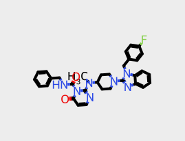 CN(c1nccc(=O)n1C(=O)NCc1ccccc1)C1CCN(c2nc3ccccc3n2Cc2ccc(F)cc2)CC1